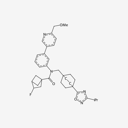 COCc1ccc(-c2cccc(N(CC34CCC(c5nc(C(C)C)no5)(CC3)CC4)C(=O)C34CC(F)C(C3)C4)c2)cn1